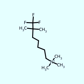 CC(C)(CCCCC[N+](C)(C)C)C(F)(F)F